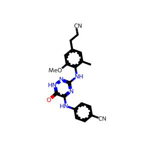 COc1cc(CCC#N)cc(C)c1Nc1n[nH]c(=O)c(Nc2ccc(C#N)cc2)n1